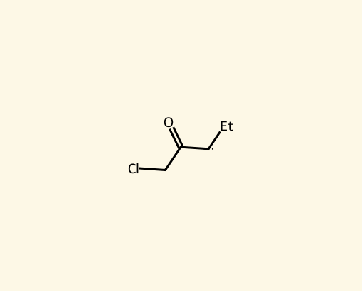 CC[CH]C(=O)CCl